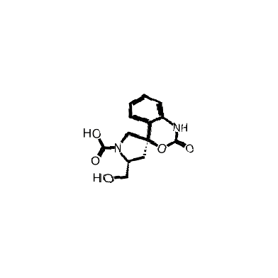 O=C1Nc2ccccc2[C@@]2(C[C@@H](CO)N(C(=O)O)C2)O1